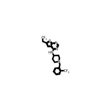 FC(F)(F)Cc1cc2c(NC3CCN(Cc4ccccc4C(F)(F)F)CC3)ncnc2s1